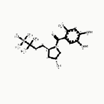 COc1cc(C(=O)N2C[C@H](O)C[C@H]2CCC(C)(C)[Si](C)(C)O)c([N+](=O)[O-])cc1OC